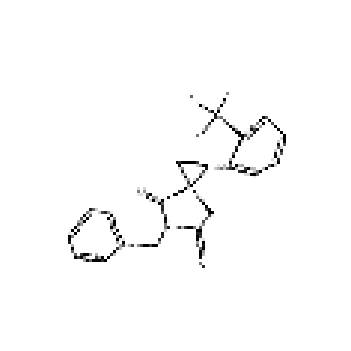 O=C1C[C@]2(C[C@@H]2c2ccccc2C(F)(F)F)C(=O)N1Cc1ccccc1